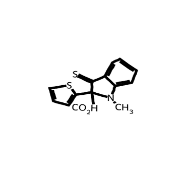 CN1c2ccccc2C(=S)C1(C(=O)O)c1cccs1